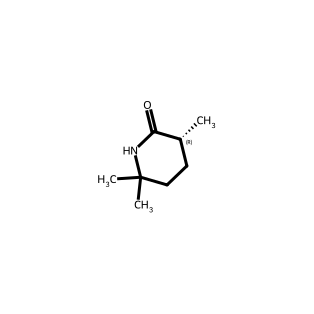 C[C@@H]1CCC(C)(C)NC1=O